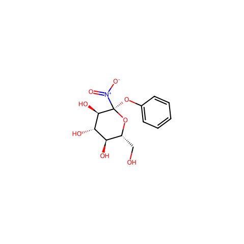 O=[N+]([O-])[C@@]1(Oc2ccccc2)O[C@H](CO)[C@@H](O)[C@H](O)[C@H]1O